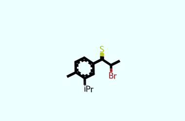 Cc1ccc(C(=S)C(C)Br)cc1C(C)C